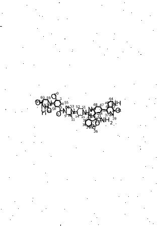 COc1ccc(C(=O)N2C[C@H](C)N(C3CCN(c4nc(C(CN)(OC5CC5)c5ccccc5)c5cc(-c6cn(C)c(=O)c7[nH]ccc67)ccc5n4)CC3)C[C@H]2C)cc1-n1ccc(=O)[nH]c1=O